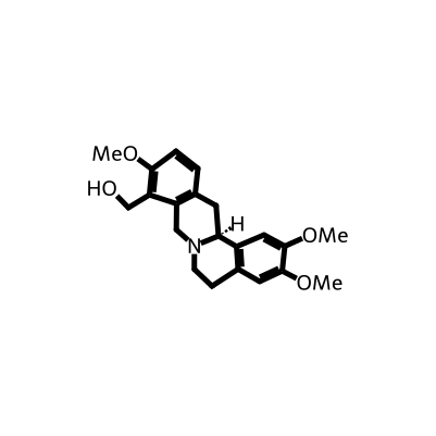 COc1cc2c(cc1OC)[C@@H]1Cc3ccc(OC)c(CO)c3CN1CC2